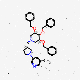 FC(F)(F)c1cncc(N2CC[C@H](CN3C[C@H](OCc4ccccc4)C(OCc4ccccc4)[C@H](OCc4ccccc4)C3)C2)c1